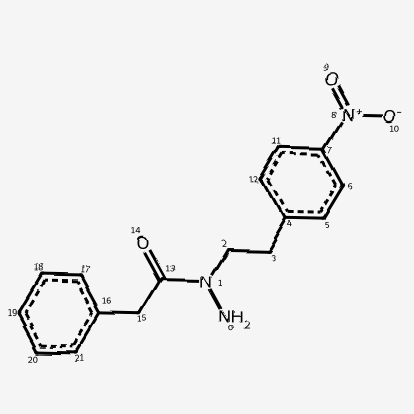 NN(CCc1ccc([N+](=O)[O-])cc1)C(=O)Cc1ccccc1